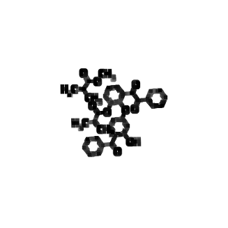 C=C(C)C(=O)OC.C=C(C)C(=O)Oc1cccc(C(=O)C(=O)c2ccccc2)c1Oc1ccc(C(=O)c2ccccc2)c(O)c1